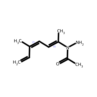 C=C/C(C)=C\C=C(/C)N(N)C(C)=O